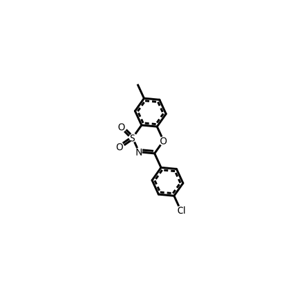 Cc1ccc2c(c1)S(=O)(=O)N=C(c1ccc(Cl)cc1)O2